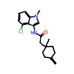 C=C1CCC(C)(CC(=O)Nc2cn(C)c3cccc(Cl)c23)CC1